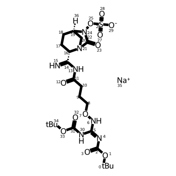 CC(C)(C)OC(=O)/N=C(/NOCCCC(=O)NC(=N)[C@@H]1CC[C@@H]2CN1C(=O)N2OS(=O)(=O)[O-])NC(=O)OC(C)(C)C.[Na+]